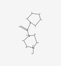 C=C(C1CCCCC1)N1CCN(C)CC1